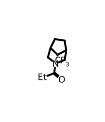 CCC(=O)N1CC2CCC(C1)C2C(F)(F)F